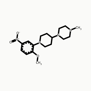 COc1ccc([N+](=O)[O-])cc1N1CCC(N2CCN(C)CC2)CC1